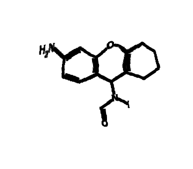 Nc1ccc2c(c1)OC1=C(CCCC1)C2N(I)C=O